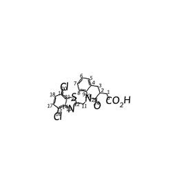 O=C(O)CC1Cc2ccccc2N(Cc2nc3c(Cl)ccc(Cl)c3s2)C1=O